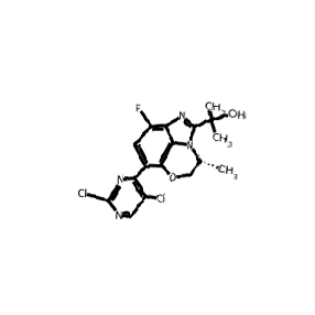 C[C@@H]1COc2c(-c3nc(Cl)ncc3Cl)cc(F)c3nc(C(C)(C)O)n1c23